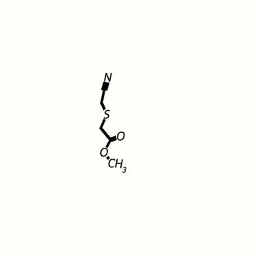 COC(=O)CSCC#N